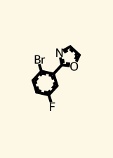 Fc1ccc(Br)c(-c2ncco2)c1